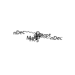 CCCCCCCCCCCCCCCCCC(=O)O[Si](CCCCCCC)(OC)OC(=O)CCCCCCCCCCCCCCCCC.OC=S